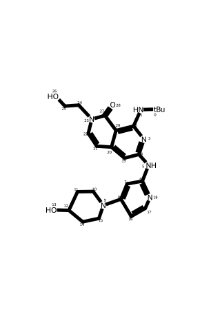 CC(C)(C)Nc1nc(Nc2cc(N3CCC(O)CC3)ccn2)cc2ccn(CCO)c(=O)c12